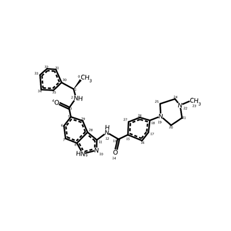 C[C@@H](NC(=O)c1ccc2[nH]nc(NC(=O)c3ccc(N4CCN(C)CC4)cc3)c2c1)c1ccccc1